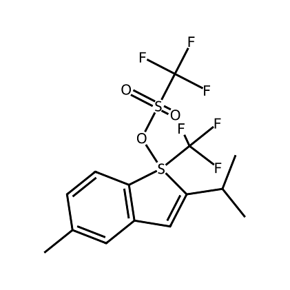 Cc1ccc2c(c1)C=C(C(C)C)S2(OS(=O)(=O)C(F)(F)F)C(F)(F)F